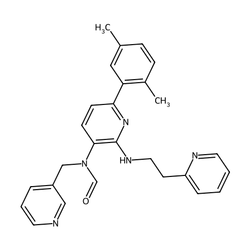 Cc1ccc(C)c(-c2ccc(N(C=O)Cc3cccnc3)c(NCCc3ccccn3)n2)c1